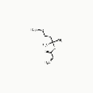 C=CC(=O)OC(C)(C)CCOC(=O)O